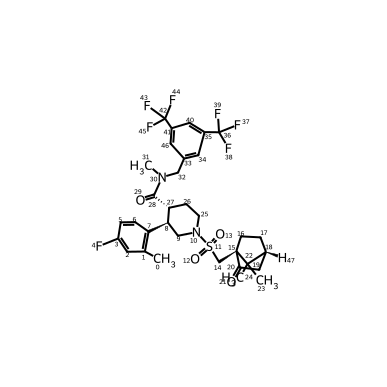 Cc1cc(F)ccc1[C@@H]1CN(S(=O)(=O)C[C@]23CC[C@H](CC2=O)C3(C)C)CC[C@H]1C(=O)N(C)Cc1cc(C(F)(F)F)cc(C(F)(F)F)c1